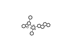 c1ccc(-c2cc(-c3nc(-c4ccccc4)nc(-c4ccc5c(ccc6c7ccccc7ccc56)c4)n3)c3oc4ccccc4c3c2)cc1